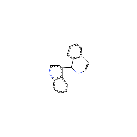 C1=Cc2ccccc2C(c2ccnc3ccccc23)N1